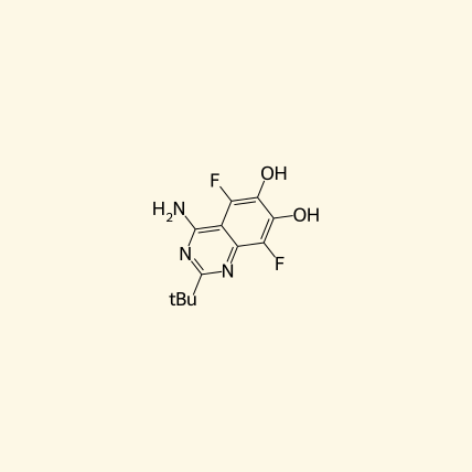 CC(C)(C)c1nc(N)c2c(F)c(O)c(O)c(F)c2n1